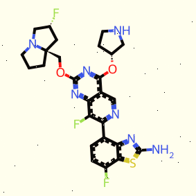 Nc1nc2c(-c3ncc4c(O[C@@H]5CCNC5)nc(OC[C@@]56CCCN5C[C@H](F)C6)nc4c3F)ccc(F)c2s1